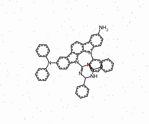 Nc1ccc2c(c1)c1ccc3c4cc(N(c5ccccc5)c5ccccc5)ccc4n(C4=NC(c5ccccc5)NC(c5ccccc5)=N4)c3c1n2-c1ccccc1